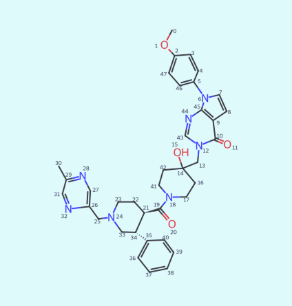 COc1ccc(-n2ccc3c(=O)n(CC4(O)CCN(C(=O)[C@@H]5CCN(Cc6cnc(C)cn6)C[C@H]5c5ccccc5)CC4)cnc32)cc1